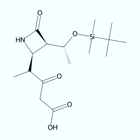 CC(C(=O)CC(=O)O)[C@H]1NC(=O)[C@H]1[C@@H](C)O[Si](C)(C)C(C)(C)C